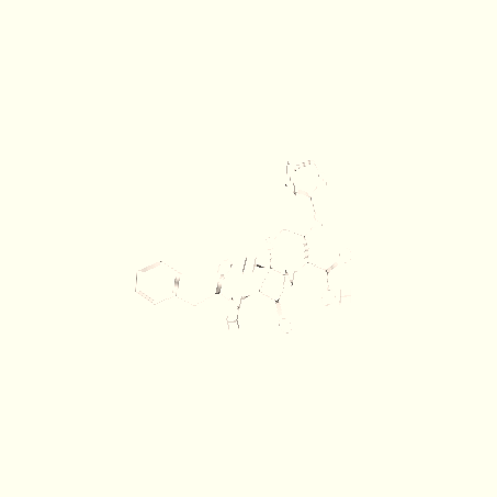 O=C(Cc1ccccc1)N[C@@H]1C(=O)N2C(C(=O)O)=C(Sc3nncs3)CS[C@@H]12